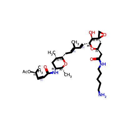 CC(=O)O[C@@H](C)/C=C\C(=O)N[C@@H]1C[C@H](C)[C@H](C/C=C(C)/C=C/[C@H]2O[C@H](CC(=O)NCCCCCN)C[C@@]3(CO3)[C@@H]2O)O[C@@H]1C